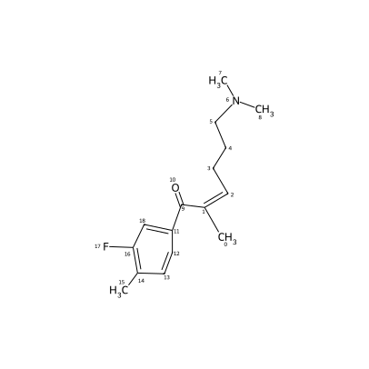 C/C(=C/CCCN(C)C)C(=O)c1ccc(C)c(F)c1